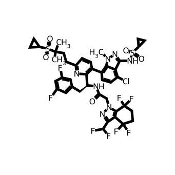 Cn1nc(NS(=O)(=O)C2CC2)c2c(Cl)ccc(-c3ccc(CCC(C)(C)S(=O)(=O)C4CC4)nc3[C@H](Cc3cc(F)cc(F)c3)NC(=O)Cn3nc(C(F)F)c4c3C(F)(F)CCC4(F)F)c21